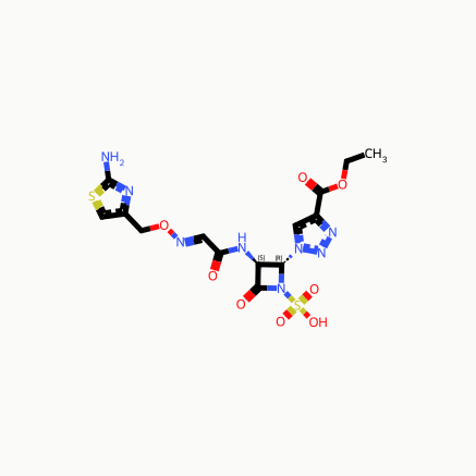 CCOC(=O)c1cn([C@H]2[C@H](NC(=O)C=NOCc3csc(N)n3)C(=O)N2S(=O)(=O)O)nn1